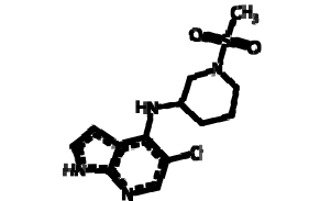 CS(=O)(=O)N1CCCC(Nc2c(Cl)cnc3[nH]ccc23)C1